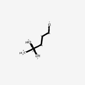 CC(O)(O)CCCCl